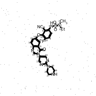 CCN(C)S(=O)(=O)Nc1ccc(F)c(Oc2ccc3ncn(-c4cnc(N5CCNCC5)nc4)c(=O)c3c2)c1C#N